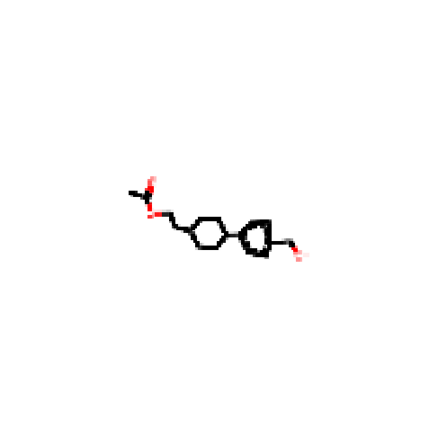 CC(=O)OCCC1CCC(c2ccc(CO)cc2)CC1